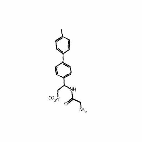 Cc1ccc(-c2ccc(C(CC(=O)O)NC(=O)CN)cc2)cc1